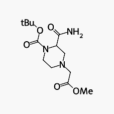 COC(=O)CN1CCN(C(=O)OC(C)(C)C)C(C(N)=O)C1